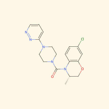 C[C@H]1COc2cc(Cl)ccc2N1C(=O)N1CCN(c2cccnn2)CC1